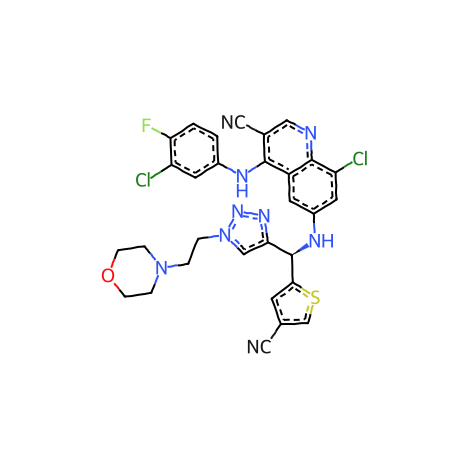 N#Cc1csc([C@H](Nc2cc(Cl)c3ncc(C#N)c(Nc4ccc(F)c(Cl)c4)c3c2)c2cn(CCN3CCOCC3)nn2)c1